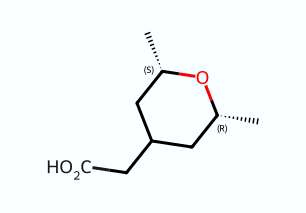 C[C@@H]1CC(CC(=O)O)C[C@H](C)O1